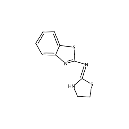 c1ccc2sc(/N=C3\NCCS3)nc2c1